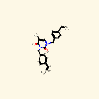 C=Cc1ccc(Cn2cc(C)c(=O)n(Cc3ccc(C=C)cc3)c2=O)cc1